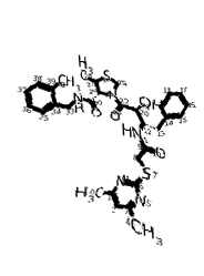 Cc1cc(C)nc(SCC(=O)N[C@@H](Cc2ccccc2)[C@H](O)C(=O)N2CSC(C)[C@H]2C(=O)NCc2ccccc2C)n1